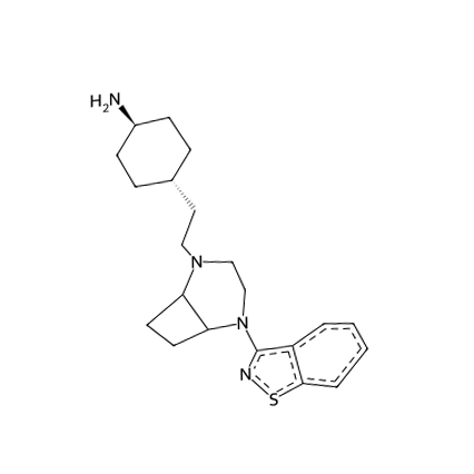 N[C@H]1CC[C@H](CCN2CCN(c3nsc4ccccc34)C3CCC32)CC1